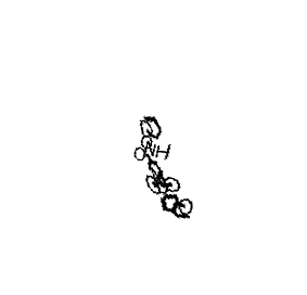 O=C(NOC1CCCCO1)C1=CCN(S(=O)(=O)c2ccc3c(c2)OCC3)C1